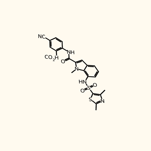 Cc1nc(C)c(S(=O)(=O)Nc2cccc3cc(C(=O)Nc4ccc(C#N)cc4C(=O)O)n(C)c23)s1